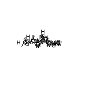 CS(=O)(=O)NCc1cc(F)cc(-c2cncc3[nH]c(-c4n[nH]c5ccc(-c6cncc(NC(=O)c7ccccc7)c6)nc45)nc23)c1